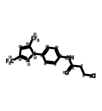 O=C(CCCl)Nc1ccc(-n2nc(C(F)(F)F)cc2C(F)(F)F)cc1